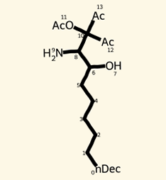 CCCCCCCCCCCCCCCC(O)C(N)C(OC(C)=O)(C(C)=O)C(C)=O